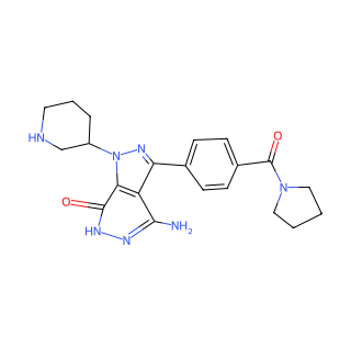 Nc1n[nH]c(=O)c2c1c(-c1ccc(C(=O)N3CCCC3)cc1)nn2C1CCCNC1